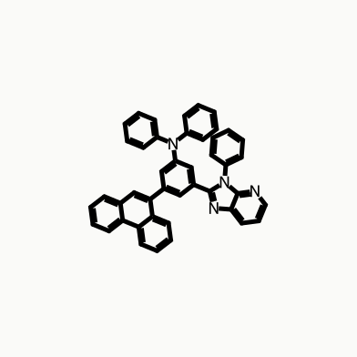 c1ccc(N(c2ccccc2)c2cc(-c3cc4ccccc4c4ccccc34)cc(-c3nc4cccnc4n3-c3ccccc3)c2)cc1